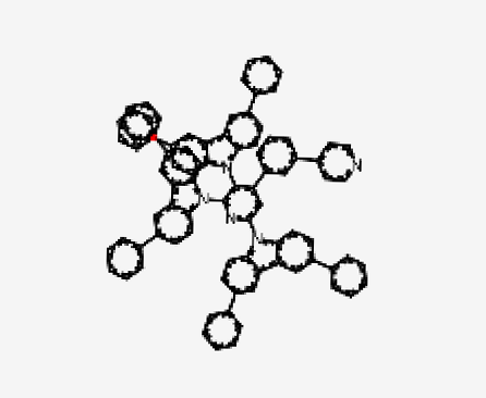 c1ccc(-c2ccc3c(c2)c2cc(-c4ccccc4)ccc2n3-c2cc(-c3cccc(-c4ccncc4)c3)c(-n3c4ccc(-c5ccccc5)cc4c4cc(-c5ccccc5)ccc43)c(-n3c4ccc(-c5ccccc5)cc4c4cc(-c5ccccc5)ccc43)n2)cc1